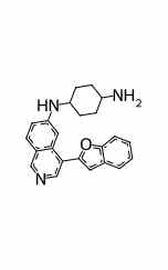 NC1CCC(Nc2ccc3cncc(-c4cc5ccccc5o4)c3c2)CC1